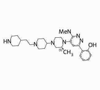 CNc1nnc(-c2ccccc2O)cc1N1CCN(C2CCN(CCC3CCNCC3)CC2)C[C@@H]1C